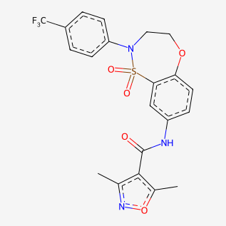 Cc1noc(C)c1C(=O)Nc1ccc2c(c1)S(=O)(=O)N(c1ccc(C(F)(F)F)cc1)CCO2